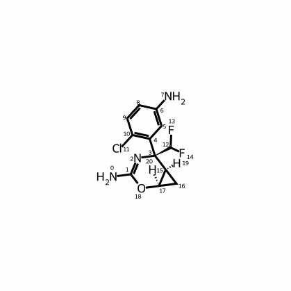 NC1=N[C@@](c2cc(N)ccc2Cl)(C(F)F)[C@H]2C[C@H]2O1